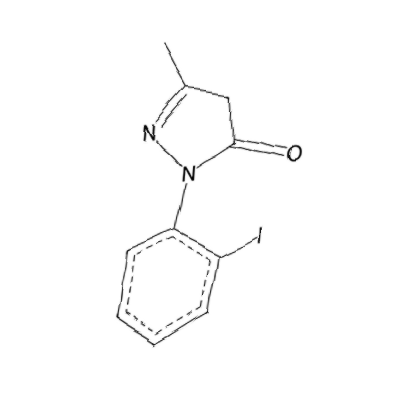 CC1=NN(c2ccccc2I)C(=O)C1